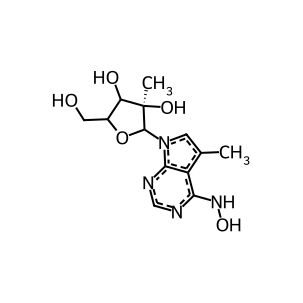 Cc1cn(C2OC(CO)C(O)[C@@]2(C)O)c2ncnc(NO)c12